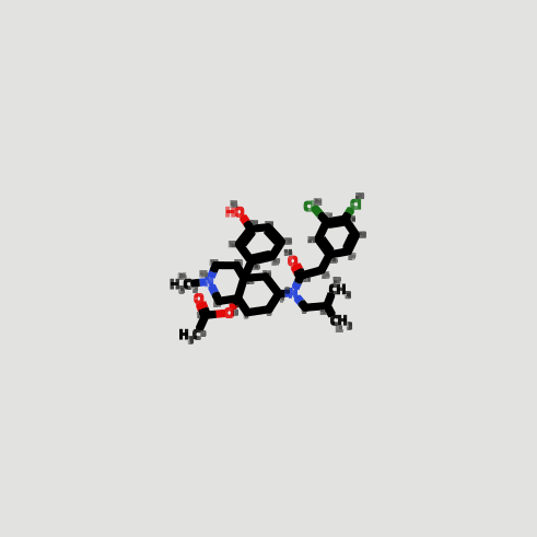 CC(=O)OC12CCC(N(CC(C)C)C(=O)Cc3ccc(Cl)c(Cl)c3)CC1(c1cccc(O)c1)CCN(C)C2